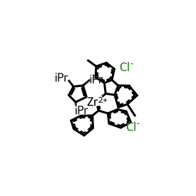 Cc1ccc2c(c1)[CH]([Zr+2]([C]1=C(C(C)C)C(C(C)C)=CC1C(C)C)=[C](c1ccccc1)c1ccccc1)c1cc(C)ccc1-2.[Cl-].[Cl-]